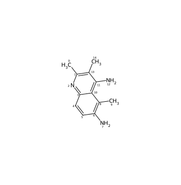 Cc1nc2ccc(N)c(C)c2c(N)c1C